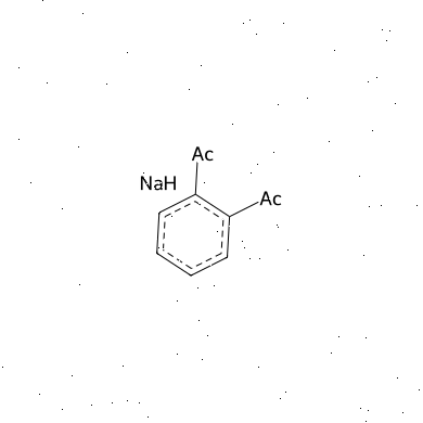 CC(=O)c1ccccc1C(C)=O.[NaH]